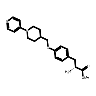 COC(=O)[C@H](N)Cc1ccc(OCC2CCN(c3ccncc3)CC2)cc1